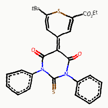 CCOC(=O)C1=CC(=C2C(=O)N(c3ccccc3)C(=S)N(c3ccccc3)C2=O)C=C(C(C)(C)C)S1